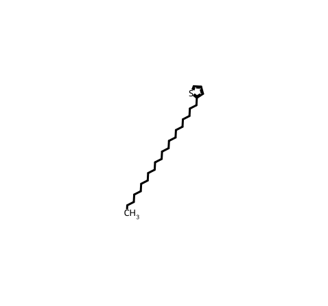 CCCCCCCCCCCCCCCCCCCCCc1cccs1